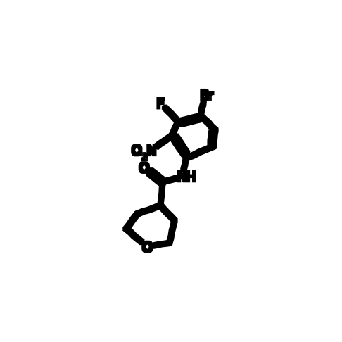 O=C(Nc1ccc(Br)c(F)c1[N+](=O)[O-])C1CCOCC1